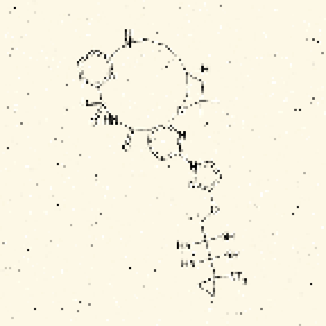 CC1(C)C[C@@H]2CCCNc3cccc(n3)S(=O)(=O)NC(=O)c3ccc(-n4ccc(OCC(S)(S)C(S)(S)C5(C(F)(F)F)CC5)n4)nc3N1C2